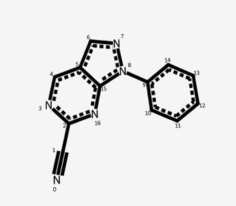 N#Cc1ncc2cnn(-c3ccccc3)c2n1